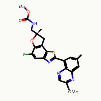 COc1cnc2c(-c3nc4cc(F)c5c(c4s3)C[C@@](C)(CNC(=O)OC(C)(C)C)O5)cc(C)cc2n1